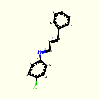 Clc1ccc(/N=C/C=C/c2ccccc2)cc1